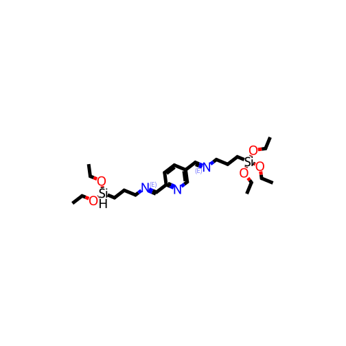 CCO[SiH](CCC/N=C/c1ccc(/C=N/CCC[Si](OCC)(OCC)OCC)cn1)OCC